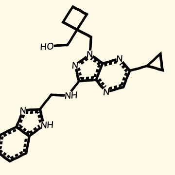 OCC1(Cn2nc(NCc3nc4ccccc4[nH]3)c3ncc(C4CC4)nc32)CCC1